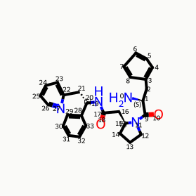 N[C@@H](Cc1ccccc1)C(=O)N1CCC[C@H]1CC(=O)N[C@@H](Cc1ccccn1)c1ccccc1